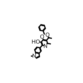 CC(=O)c1c(C)nc(-c2ccc3c(ccn3C)c2)c(O)c1OCc1ccccc1